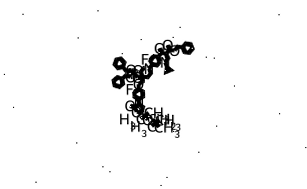 CC(C)(C)[SiH2]OC(C)(C)[C@H]1CN(c2ccc(OCC3(OP(=O)(OCc4ccccc4)OCc4ccccc4)CCN(c4cc5c(cc4F)c(=O)c(C(=O)OCc4ccccc4)cn5C4CC4)CC3)c(F)c2)C(=O)O1